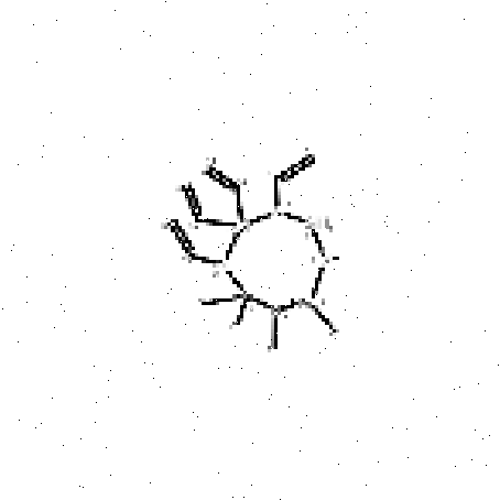 C=CN1[SiH2]N[SiH](C)N(C)[Si](C)(C)N(C=C)[Si]1(C=C)C=C